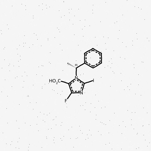 C[C@H](c1ccccc1)n1c(I)nc(F)c1C(=O)O